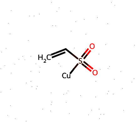 C=C[S](=O)(=O)[Cu]